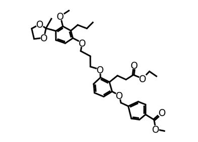 CCCc1c(OCCCOc2cccc(OCc3ccc(C(=O)OC)cc3)c2CCC(=O)OCC)ccc(C2(C)OCCO2)c1OC